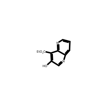 CCOC(=O)c1c(O)cnc2cccnc12